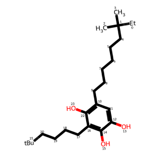 CCC(C)(C)CCCCCCc1cc(O)c(O)c(CCCCC(C)(C)C)c1O